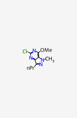 CCCc1nn(C)c2c(OC)nc(Cl)nc12